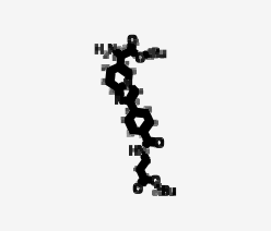 CC(C)(C)OC(=O)CCNC(=O)c1ccc(-c2cn3cc(C(N)C(=O)OC(C)(C)C)ccc3n2)cc1